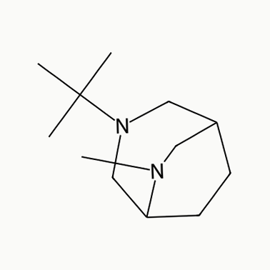 CN1CC2CCC1CN(C(C)(C)C)C2